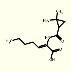 CCCC/C=C(\NC(=O)C1CC1(C)C)C(=O)O